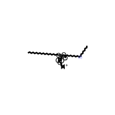 CCCCCCC/C=C\CCCCCCCC(=O)O[C@H](COCCCCCCCCCCCCCCCCCC)COP(=O)([O-])OCC[N+](C)(C)C